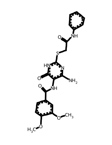 COc1ccc(C(=O)Nc2c(N)nc(SCC(=O)Nc3ccccc3)[nH]c2=O)cc1OC